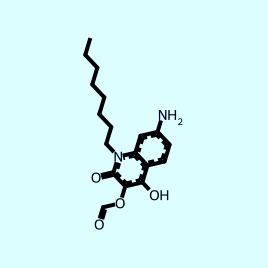 CCCCCCCCn1c(=O)c(OC=O)c(O)c2ccc(N)cc21